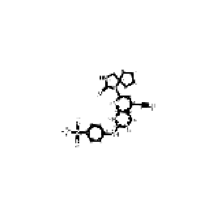 C#Cc1cc(N2C(=O)NCC23CCCC3)nc2nc(Nc3ccc(S(C)(=O)=O)cc3)ncc12